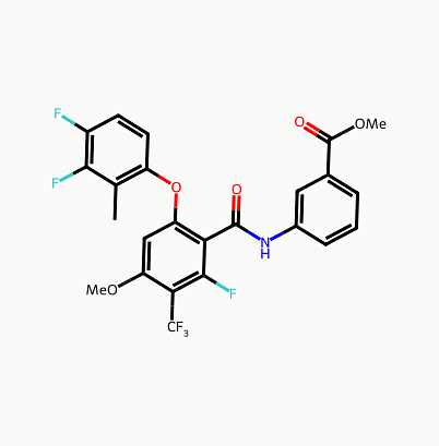 COC(=O)c1cccc(NC(=O)c2c(Oc3ccc(F)c(F)c3C)cc(OC)c(C(F)(F)F)c2F)c1